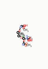 CCOC(=O)C1(CO)CCN(CCCOc2cccc(-c3cccc(COc4cc(OCc5cncc(S(C)(=O)=O)c5)c(CNC(C)(CO)C(=O)O)cc4Cl)c3C)c2C)C1